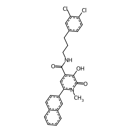 Cn1c(-c2ccc3ccccc3c2)cc(C(=O)NCCCc2ccc(Cl)c(Cl)c2)c(O)c1=O